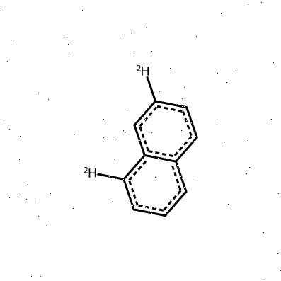 [2H]c1ccc2cccc([2H])c2c1